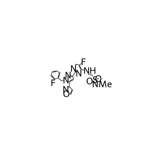 CNS(=O)(=O)CCNc1nc(-c2cc(-c3ccon3)n(Cc3ccccc3F)n2)ncc1F